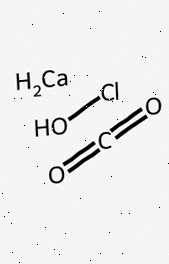 O=C=O.OCl.[CaH2]